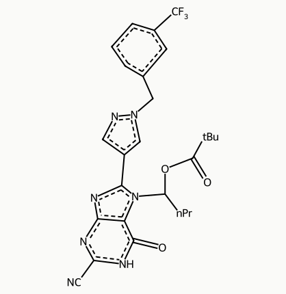 CCCC(OC(=O)C(C)(C)C)n1c(-c2cnn(Cc3cccc(C(F)(F)F)c3)c2)nc2nc(C#N)[nH]c(=O)c21